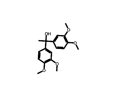 COc1ccc(C(C)(O)c2ccc(OC)c(OC)c2)cc1OC